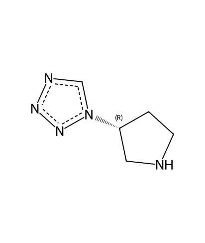 c1nnnn1[C@@H]1CCNC1